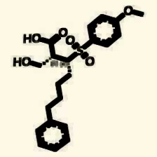 COc1ccc(S(=O)(=O)[C@H](CCCCc2ccccc2)[C@H](CO)C(=O)O)cc1